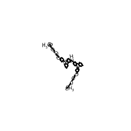 COCCOCCOCCOc1ccc(-n2c3ccccc3c3cc(Nc4ccc5c(c4)c4ccccc4n5-c4ccc(OCCOCCOCCOC)cc4)ccc32)cc1